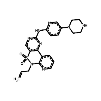 C=CCN1c2ncccc2-c2nc(Nc3ccc(N4CCNCC4)cn3)ncc2S1(=O)=O